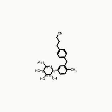 CS[C@H]1O[C@@H](c2ccc(C)c(Cc3ccc(CCCC#N)cc3)c2)[C@H](O)[C@@H](O)[C@@H]1O